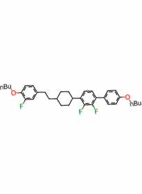 CCCCOc1ccc(-c2ccc(C3CCC(CCc4ccc(OCCCC)c(F)c4)CC3)c(F)c2F)cc1